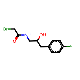 O=C(CBr)NCC(O)Cc1ccc(F)cc1